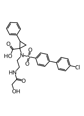 O=C(CO)NCCN(C1(C(=O)O)CC1c1ccccc1)S(=O)(=O)c1ccc(-c2ccc(Cl)cc2)cc1